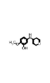 COc1ccc(NC2CCOCC2)cc1O